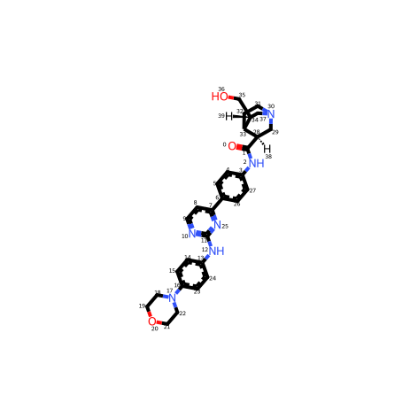 O=C(Nc1ccc(-c2ccnc(Nc3ccc(N4CCOCC4)cc3)n2)cc1)[C@@H]1CN2CCC1[C@H](CO)C2